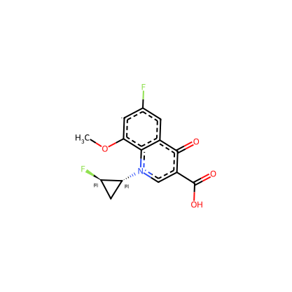 COc1[c]c(F)cc2c(=O)c(C(=O)O)cn([C@@H]3C[C@H]3F)c12